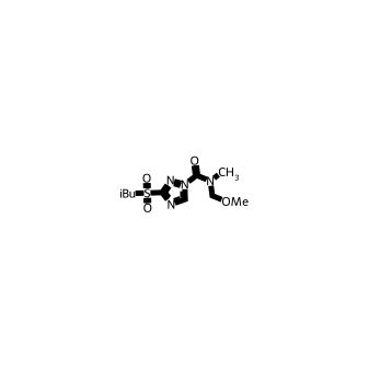 CCC(C)S(=O)(=O)c1ncn(C(=O)N(C)COC)n1